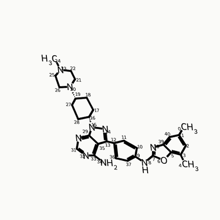 Cc1cc(C)c2oc(Nc3ccc(-c4nn([C@H]5CC[C@@H](N6CCN(C)CC6)CC5)c5ncnc(N)c45)cc3)nc2c1